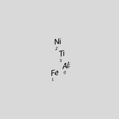 [Al].[Fe].[Ni].[Ti]